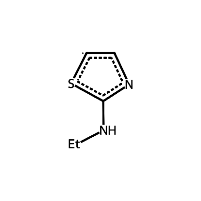 CCNc1nc[c]s1